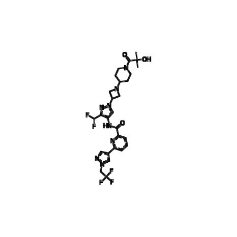 CC(C)(O)C(=O)N1CCC(N2CC(n3cc(NC(=O)c4cccc(-c5cnn(CC(F)(F)F)c5)n4)c(C(F)F)n3)C2)CC1